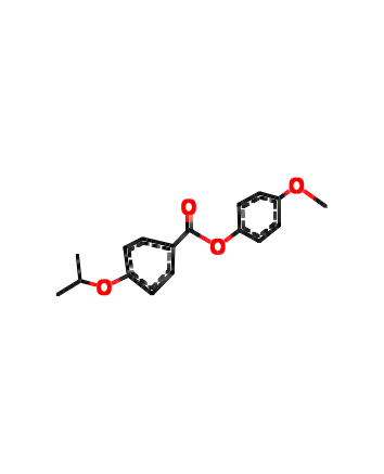 COc1ccc(OC(=O)c2ccc(OC(C)C)cc2)cc1